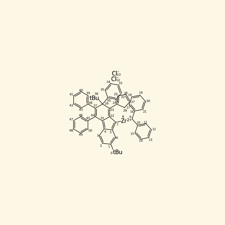 CC(C)(C)c1ccc2c(c1)=[C]([Zr+2]=[C](c1ccccc1)c1ccccc1)C1=C(C3=CC=CC3)C(c3ccccc3)(C(C)(C)C)C(c3ccccc3)=C(c3ccccc3)C=21.[Cl-].[Cl-]